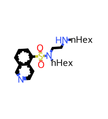 CCCCCCNCCN(CCCCCC)S(=O)(=O)c1cccc2cnccc12